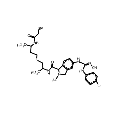 CC(=O)N1Cc2cc(NC(=NC#N)Nc3ccc(Cl)cc3)ccc2C1C(=O)NC(CSCCC(NC(=O)CC(C)(C)C)C(=O)O)C(=O)O